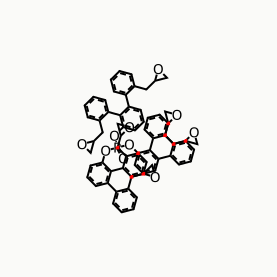 O=P(Oc1cccc(-c2ccccc2CC2CO2)c1-c1ccccc1CC1CO1)(Oc1cccc(-c2ccccc2CC2CO2)c1-c1ccccc1CC1CO1)Oc1cccc(-c2ccccc2CC2CO2)c1-c1ccccc1CC1CO1